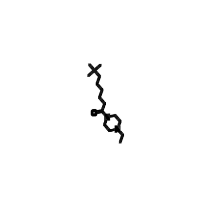 CCN1CCN(C(=O)CCCCCC(C)(C)C)CC1